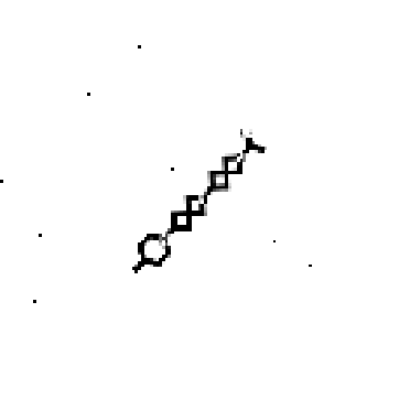 CC(=O)N1CC2(CC(N3CC4(CC(N5CCC(C)CC5)C4)C3)C2)C1